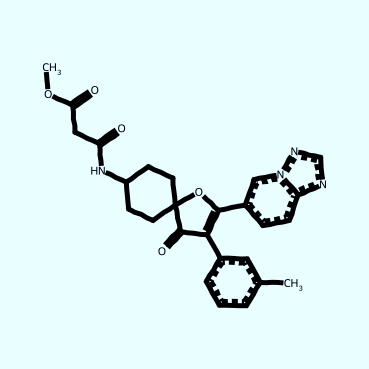 COC(=O)CC(=O)NC1CCC2(CC1)OC(c1ccc3ncnn3c1)=C(c1cccc(C)c1)C2=O